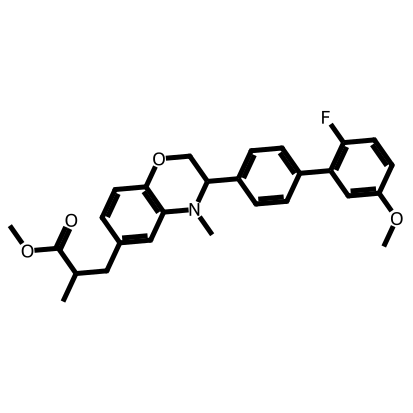 COC(=O)C(C)Cc1ccc2c(c1)N(C)C(c1ccc(-c3cc(OC)ccc3F)cc1)CO2